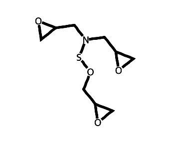 C(OSN(CC1CO1)CC1CO1)C1CO1